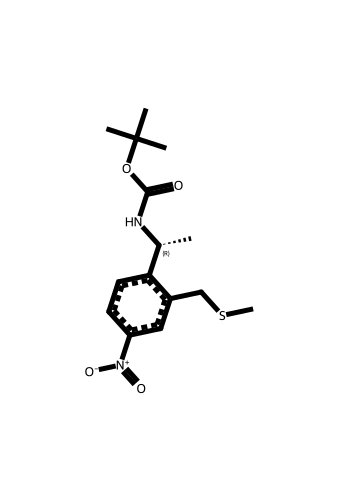 CSCc1cc([N+](=O)[O-])ccc1[C@@H](C)NC(=O)OC(C)(C)C